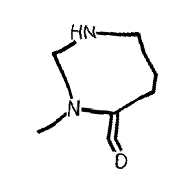 CN1CNCCC1=O